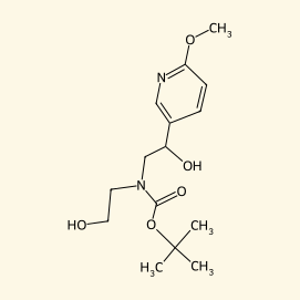 COc1ccc(C(O)CN(CCO)C(=O)OC(C)(C)C)cn1